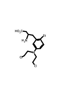 CCc1ccc(N(CCCl)CCCl)cc1CC(N)CC(=O)O